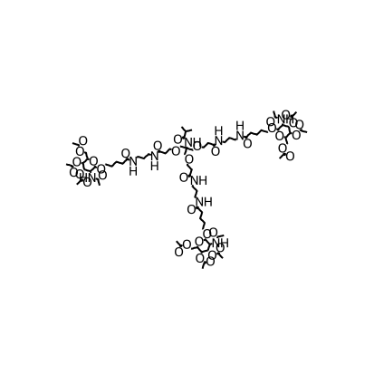 CC(=O)NC1C(OCCCCC(=O)NCCCNC(=O)CCOCC(COCCC(=O)NCCCNC(=O)CCCCOC2OC(COC(C)=O)C(OC(C)=O)C(OC(C)=O)C2NC(C)=O)(COCCC(=O)NCCCNC(=O)CCCCOC2OC(COC(C)=O)C(OC(C)=O)C(OC(C)=O)C2NC(C)=O)NC(=O)C(C)C)OC(COC(C)=O)C(OC(C)=O)C1OC(C)=O